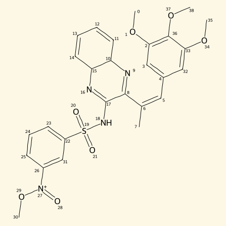 COc1cc(/C=C(/C)C2=NC3C=CC=CC3N=C2NS(=O)(=O)c2cccc([N+](=O)OC)c2)cc(OC)c1OC